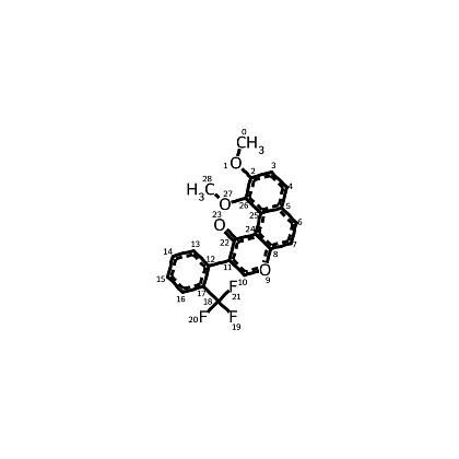 COc1ccc2ccc3occ(-c4ccccc4C(F)(F)F)c(=O)c3c2c1OC